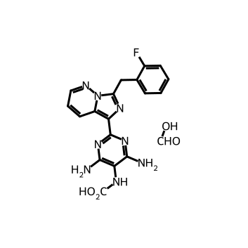 Nc1nc(-c2nc(Cc3ccccc3F)n3ncccc23)nc(N)c1NC(=O)O.O=CO